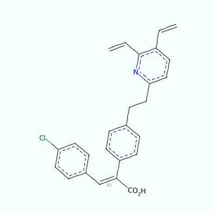 C=Cc1ccc(CCc2ccc(/C(=C\c3ccc(Cl)cc3)C(=O)O)cc2)nc1C=C